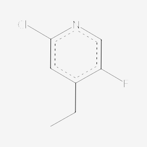 CCc1cc(Cl)ncc1F